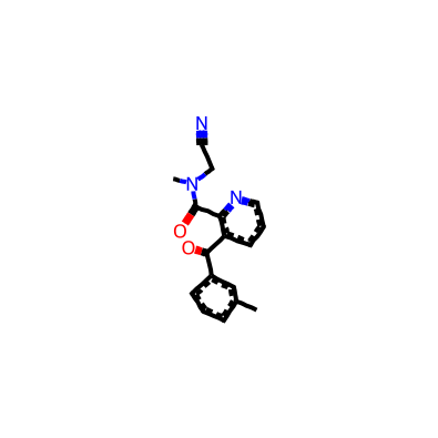 Cc1cccc(C(=O)c2cccnc2C(=O)N(C)CC#N)c1